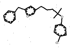 CC(C)(CCCc1coc(Cc2ccccc2)c1)Oc1ccc(Cl)cc1